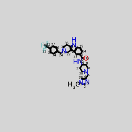 Cn1cnc(CN2CCC(NC(=O)c3ccc4[nH]c5c(c4c3)CN(Cc3ccc(C(F)(F)F)cc3)CC5)CC2)c1